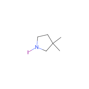 CC1(C)CCN(I)C1